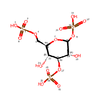 O=S(=O)(O)OC[C@H]1OC(OS(=O)(=O)O)[C@H](O)[C@@H](OS(=O)(=O)O)[C@@H]1O